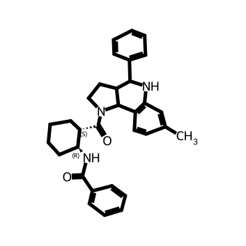 Cc1ccc2c(c1)NC(c1ccccc1)C1CCN(C(=O)[C@H]3CCCC[C@H]3NC(=O)c3ccccc3)C21